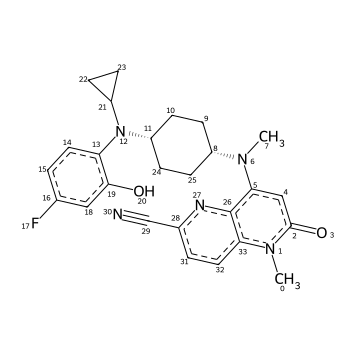 Cn1c(=O)cc(N(C)[C@H]2CC[C@@H](N(c3ccc(F)cc3O)C3CC3)CC2)c2nc(C#N)ccc21